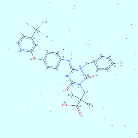 CC(C)(Cn1c(=O)[nH]/c(=N\c2ccc(Oc3cc(C(F)(F)F)ccn3)cc2)n(Cc2ccc(Cl)cc2)c1=O)C(=O)O